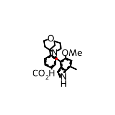 COc1cc(C)c2[nH]ccc2c1CN1CCC2CC1(c1ccc(C(=O)O)cc1)CCO2